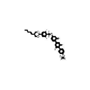 CCCCCC1COC(c2cc(F)c(C(F)(F)Oc3ccc(-c4cc(F)c(-c5ccc(OC(F)(F)F)cc5)c(F)c4)c(F)c3)c(F)c2)OC1